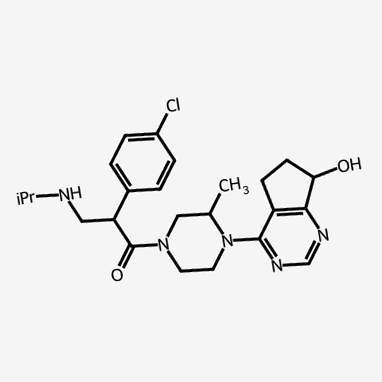 CC(C)NCC(C(=O)N1CCN(c2ncnc3c2CCC3O)C(C)C1)c1ccc(Cl)cc1